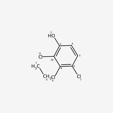 CC.Oc1ccc(Cl)c(Cl)c1Cl